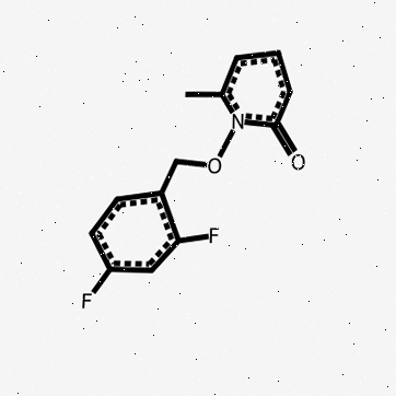 Cc1cccc(=O)n1OCc1ccc(F)cc1F